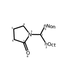 CCCCCCCCCC(CCCCCCCC)N1CCCC1=O